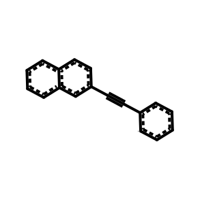 C(#Cc1ccc2ccccc2c1)c1[c]cccc1